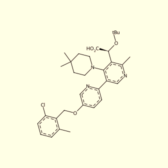 Cc1cccc(Cl)c1COc1ccc(-c2cnc(C)c([C@H](OC(C)(C)C)C(=O)O)c2N2CCC(C)(C)CC2)nc1